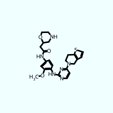 COc1cc(NC(=O)CC2CNCCO2)ccc1Nc1nccc(N2CCc3sccc3C2)n1